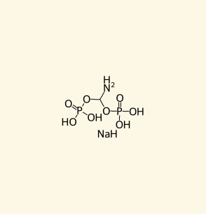 NC(OP(=O)(O)O)OP(=O)(O)O.[NaH]